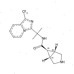 CC(C)(NC(=O)[C@H]1[C@@H]2CNC[C@@H]21)c1nc(C(F)(F)F)c2ccccn12